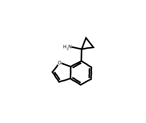 NC1(c2cccc3ccoc23)CC1